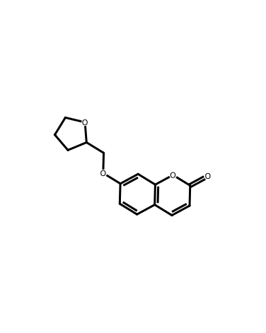 O=c1ccc2ccc(OCC3CCCO3)cc2o1